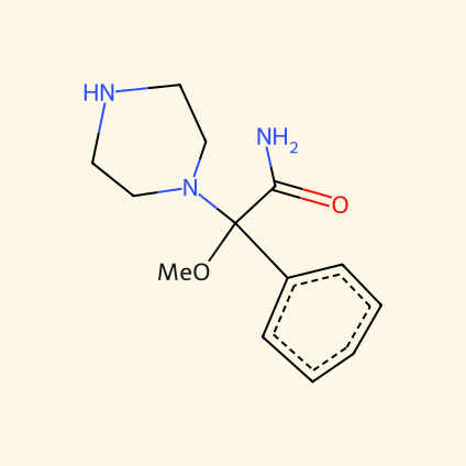 COC(C(N)=O)(c1ccccc1)N1CCNCC1